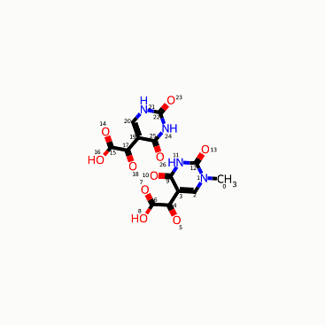 Cn1cc(C(=O)C(=O)O)c(=O)[nH]c1=O.O=C(O)C(=O)c1c[nH]c(=O)[nH]c1=O